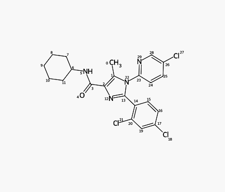 Cc1c(C(=O)NC2CCCCC2)nc(-c2ccc(Cl)cc2Cl)n1-c1ccc(Cl)cn1